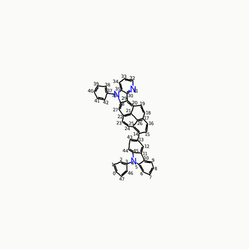 c1ccc(-n2c3ccccc3c3cc(-c4ccc5ccc6c7c(ccc4c57)cc4c6c5ncccc5n4-c4ccccc4)ccc32)cc1